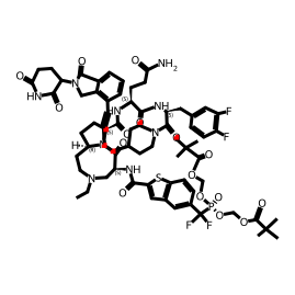 CCN1CC[C@H]2CC[C@@H](C(=O)N[C@@H](CCC(N)=O)C(=O)N[C@@H](Cc3ccc(F)c(F)c3)C(=O)N3CCC(CCC#Cc4cccc5c4CN(C4CCC(=O)NC4=O)C5=O)CC3)N2C(=O)[C@@H](NC(=O)c2cc3cc(C(F)(F)P(=O)(OCOC(=O)C(C)(C)C)OCOC(=O)C(C)(C)C)ccc3s2)C1